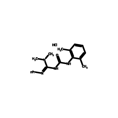 CCCN=C(NC(=O)Nc1c(C)cccc1C)N(C)C.Cl